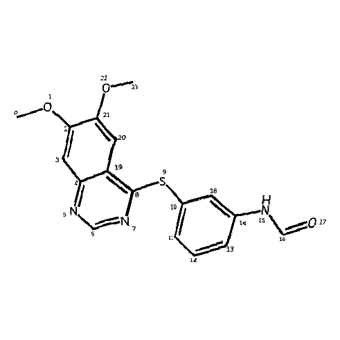 COc1cc2ncnc(Sc3cccc(NC=O)c3)c2cc1OC